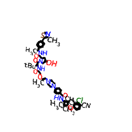 Cc1ncsc1-c1ccc(C(C)NC(=O)C2C[C@@H](O)CN2C(=O)[C@@H](NC(=O)COC(C)CN2CCN(c3ccc(C(=O)NC4C(C)(C)C(Oc5ccc(C#N)c(Cl)c5)C4(C)C)cc3)CC2)C(C)(C)C)cc1